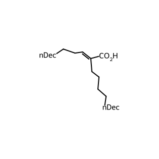 CCCCCCCCCCCCC=C(CCCCCCCCCCCCCC)C(=O)O